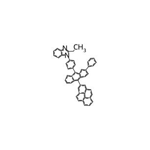 CCc1nc2ccccc2n1-c1ccc(-c2c3ccccc3c(-c3cc4ccc5cccc6ccc(c3)c4c56)c3ccc(-c4ccccc4)cc23)cc1